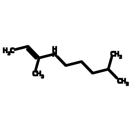 C/C=C(\C)NCCCC(C)C